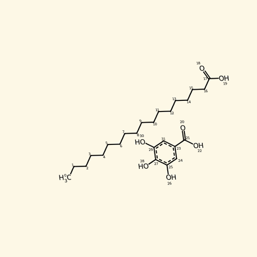 CCCCCCCCCCCCCCCCCC(=O)O.O=C(O)c1cc(O)c(O)c(O)c1